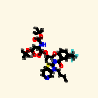 CCCCn1c(=NC(=O)c2cc(C(F)(F)F)ccc2OCC(C)OC(=O)C(CC(=O)OC(C)(C)C)NC(=O)OC(C)(C)C)sc2ccncc21